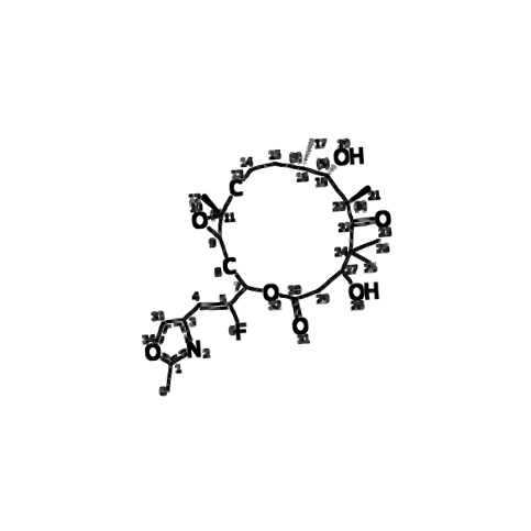 Cc1nc(C=C(F)C2CC3O[C@]3(C)CCC[C@H](C)[C@H](O)[C@@H](C)C(=O)C(C)(C)C(O)CC(=O)O2)co1